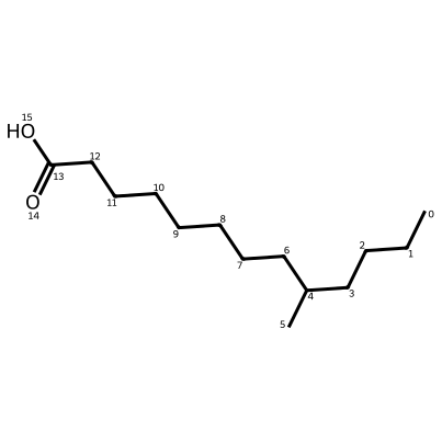 CCCCC(C)CCCCCCCC(=O)O